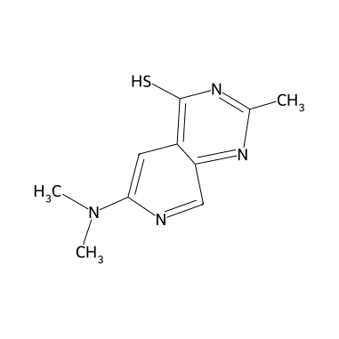 Cc1nc(S)c2cc(N(C)C)ncc2n1